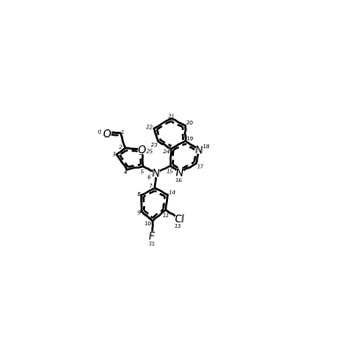 O=Cc1ccc(N(c2ccc(F)c(Cl)c2)c2ncnc3ccccc23)o1